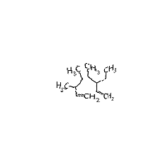 C=CC(C)CC.C=CC(CC)CC